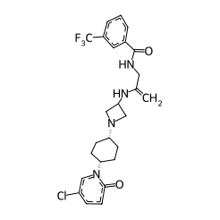 C=C(CNC(=O)c1cccc(C(F)(F)F)c1)NC1CN([C@H]2CC[C@@H](n3cc(Cl)ccc3=O)CC2)C1